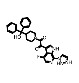 O=C(C(=O)N1CCC(C(O)(c2ccccc2)c2ccccc2)CC1)c1c[nH]c2c(N3C=CNN3)ncc(F)c12